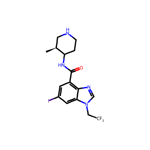 C[C@H]1CNCCC1NC(=O)c1cc(I)cc2c1ncn2CC(F)(F)F